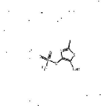 Cc1nc(OS(=O)(=O)C(F)(F)F)c(C=O)s1